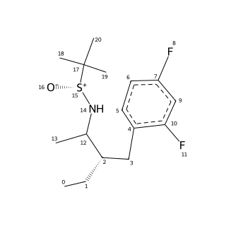 CC[C@@H](Cc1ccc(F)cc1F)C(C)N[S@+]([O-])C(C)(C)C